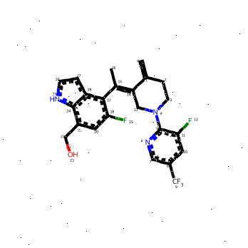 C=C1CCN(c2ncc(C(F)(F)F)cc2F)C/C1=C(/C)c1c(F)cc(CO)c2[nH]ccc12